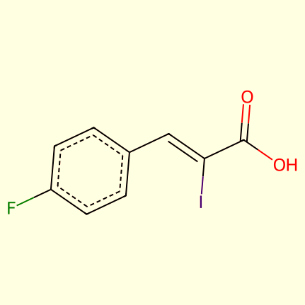 O=C(O)C(I)=Cc1ccc(F)cc1